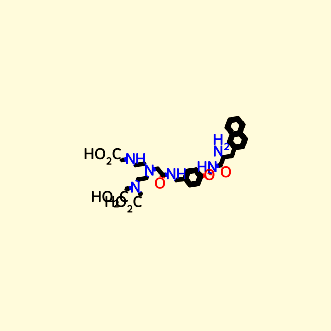 N[C@H](Cc1ccc2ccccc2c1)C(=O)NOc1ccc(CNC(=O)CN(CCNCC(=O)O)CCN(CC(=O)O)CC(=O)O)cc1